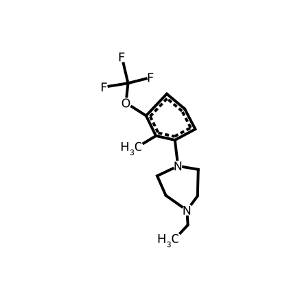 CCN1CCN(c2cccc(OC(F)(F)F)c2C)CC1